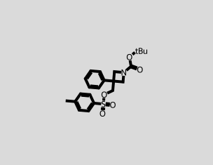 Cc1ccc(S(=O)(=O)OCC2(c3ccccc3)CN(C(=O)OC(C)(C)C)C2)cc1